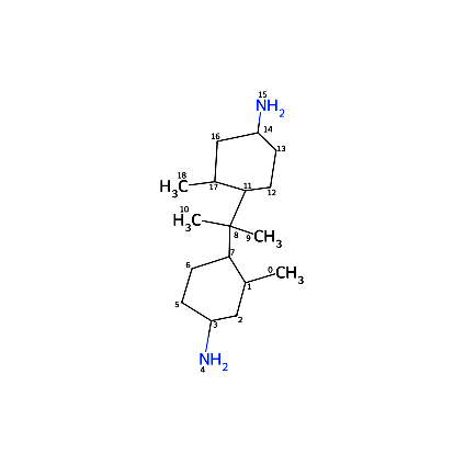 CC1CC(N)CCC1C(C)(C)C1CCC(N)CC1C